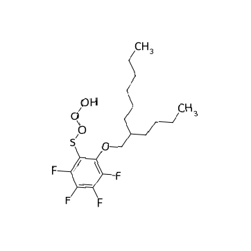 CCCCCCC(CCCC)COc1c(F)c(F)c(F)c(F)c1SOOO